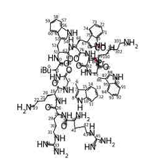 CC[C@H](C)[C@H](NC(=O)[C@H](Cc1c[nH]c2ccccc12)NC(=O)[C@H](CCCCN)NC(=O)[C@H](CCCNC(=N)N)NC(=O)[C@@H](N)CCCNC(=N)N)C(=O)N[C@@H](Cc1c[nH]c2ccccc12)C(=O)N[C@@H](Cc1c[nH]c2ccccc12)C(=O)N[C@@H](CC(C)C)C(=O)N[C@@H](Cc1c[nH]c2ccccc12)C(=O)N[C@@H](CCCCN)C(=O)O